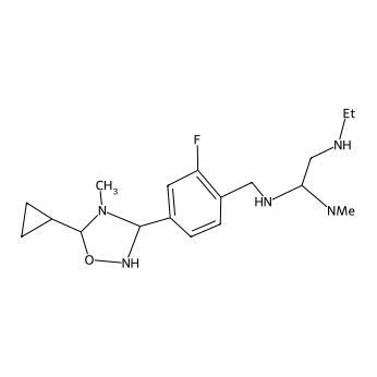 CCNCC(NC)NCc1ccc(C2NOC(C3CC3)N2C)cc1F